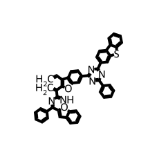 C=Cc1c(C(=C)C(=N)/N=C(/c2ccccc2)c2cc3ccccc3o2)oc2cc(-c3nc(-c4ccccc4)nc(-c4ccc5c(c4)sc4ccccc45)n3)ccc12